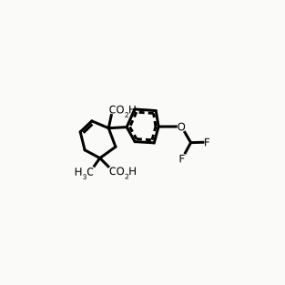 CC1(C(=O)O)CC=CC(C(=O)O)(c2ccc(OC(F)F)cc2)C1